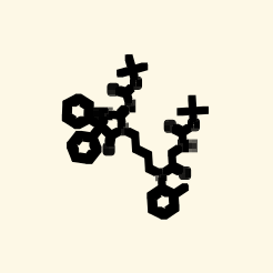 Cc1ccccc1N(CCCCN1C(=O)C(c2ccccc2)(c2ccccc2)N/C1=N\C(=O)OC(C)(C)C)C(=O)CNC(=O)OC(C)(C)C